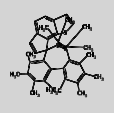 Cc1c(C)c(C)c2c(c1C)-c1c(C)c(C)c(C)c(C)c1C1(C=Cc3ccc4ccsc4c31)c1c(C)c(C)c(C)c(C)c1-2